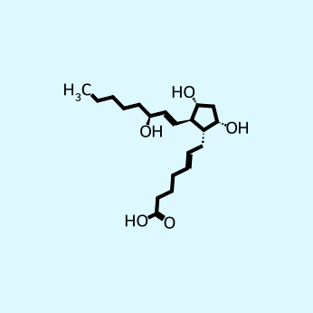 CCCCC[C@H](O)/C=C/[C@@H]1[C@@H](CC=CCCCC(=O)O)[C@@H](O)C[C@H]1O